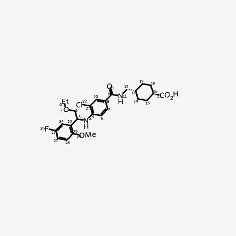 CCOCC(Nc1ccc(C(=O)NC[C@H]2CC[C@H](C(=O)O)CC2)cc1Cl)c1cc(F)ccc1OC